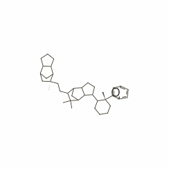 CC1(C)C(CC[C@@]2(C)CC3CC2C2CCCC32)C2CC1C1C2CCC1C1CCCC[C@@]1(C)c1cc2ccc1o2